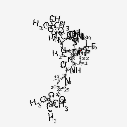 CC(C)(C)OC(=O)NC1=N[C@](C)(c2nc(NC(=O)c3ccc(C(=O)OC(C)(C)C)cn3)ccc2F)[C@H]2CC(F)(F)CN=[S@]2(=O)C1(C)C